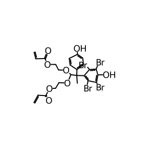 C=CC(=O)OCCOC(OCCOC(=O)C=C)C(C)(c1ccc(O)cc1)c1c(Br)c(Br)c(O)c(Br)c1Br